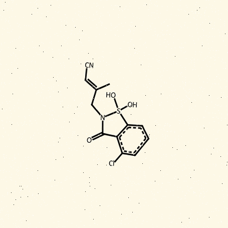 C/C(=C\C#N)CN1C(=O)c2c(Cl)cccc2S1(O)O